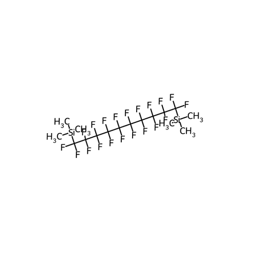 C[Si](C)(C)C(F)(F)C(F)(F)C(F)(F)C(F)(F)C(F)(F)C(F)(F)C(F)(F)C(F)(F)C(F)(F)C(F)(F)[Si](C)(C)C